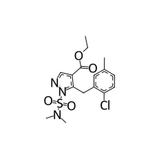 CCOC(=O)c1cnn(S(=O)(=O)N(C)C)c1Cc1cc(C)ccc1Cl